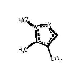 Cc1cnn(O)c1C